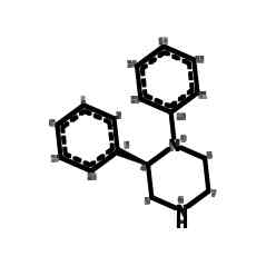 c1ccc([C@@H]2CNCCN2c2ccccc2)cc1